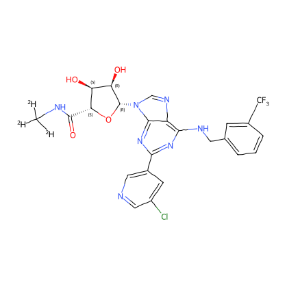 [2H]C([2H])([2H])NC(=O)[C@H]1O[C@@H](n2cnc3c(NCc4cccc(C(F)(F)F)c4)nc(-c4cncc(Cl)c4)nc32)[C@H](O)[C@@H]1O